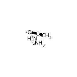 C=C=O.N.N